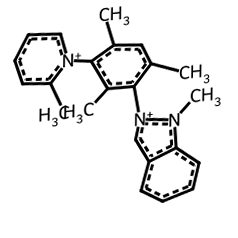 Cc1cc(C)c(-[n+]2cc3ccccc3n2C)c(C)c1-[n+]1ccccc1C